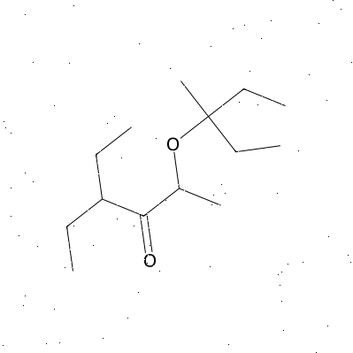 CCC(CC)C(=O)C(C)OC(C)(CC)CC